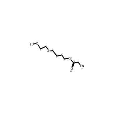 CCOCCOCCCCOC(=O)CC#N